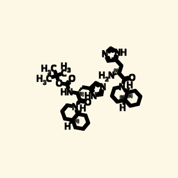 CC(C)(C)OC(=O)N[C@H](Cc1cnc[nH]1)C(=O)N1CCC[C@H]2CCCC[C@@H]21.N[C@H](Cc1cnc[nH]1)C(=O)N1CCC[C@H]2CCCC[C@@H]21